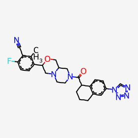 Cc1c(C2CN3CCN(C(=O)C4CCCc5cc(-n6cnnn6)ccc54)CC3CO2)ccc(F)c1C#N